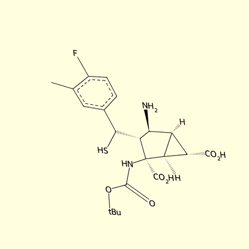 Cc1cc(C(S)[C@@H]2[C@@H](N)[C@H]3[C@H](C(=O)O)[C@H]3[C@]2(NC(=O)OC(C)(C)C)C(=O)O)ccc1F